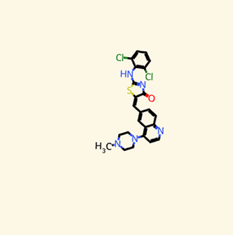 CN1CCN(c2ccnc3ccc(C=C4SC(Nc5c(Cl)cccc5Cl)=NC4=O)cc23)CC1